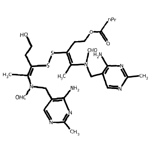 CCCC(=O)OCCC(SSC(CCO)=C(C)N(C=O)Cc1cnc(C)nc1N)=C(C)N(C=O)Cc1cnc(C)nc1N